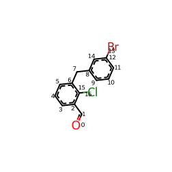 O=Cc1cccc(Cc2cccc(Br)c2)c1Cl